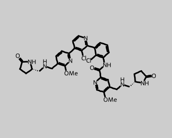 COc1cnc(C(=O)Nc2cccc(-c3nccc(-c4ccc(CNC[C@@H]5CCC(=O)N5)c(OC)n4)c3Cl)c2Cl)cc1CNC[C@@H]1CCC(=O)N1